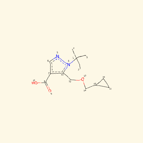 CC(C)(C)n1ncc(C(=O)O)c1COCC1CC1